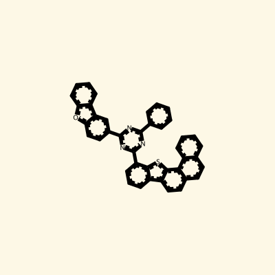 c1ccc(-c2nc(-c3ccc4oc5ccccc5c4c3)nc(-c3cccc4c3sc3c4ccc4ccc5ccccc5c43)n2)cc1